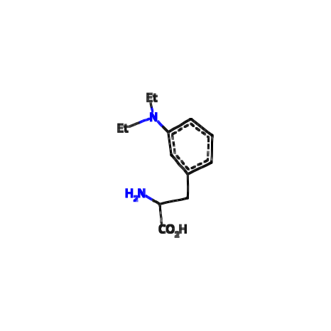 CCN(CC)c1cccc(CC(N)C(=O)O)c1